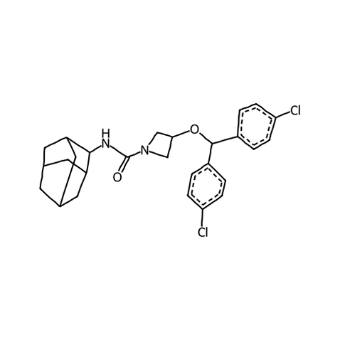 O=C(NC1C2CC3CC(C2)CC1C3)N1CC(OC(c2ccc(Cl)cc2)c2ccc(Cl)cc2)C1